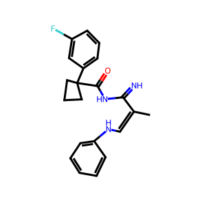 C/C(=C/Nc1ccccc1)C(=N)NC(=O)C1(c2cccc(F)c2)CCC1